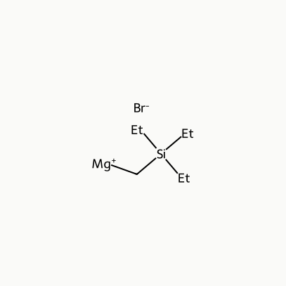 CC[Si](CC)(CC)[CH2][Mg+].[Br-]